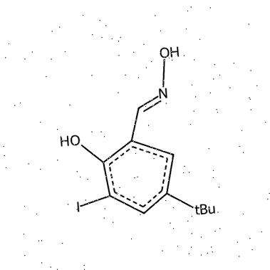 CC(C)(C)c1cc(I)c(O)c(C=NO)c1